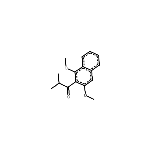 COc1cc2ccccc2c(OC)c1C(=O)C(C)C